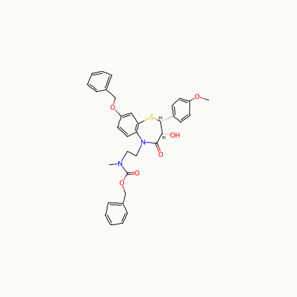 COc1ccc([C@H]2Sc3cc(OCc4ccccc4)ccc3N(CCN(C)C(=O)OCc3ccccc3)C(=O)[C@H]2O)cc1